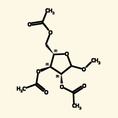 COC1O[C@@H](COC(C)=O)[C@H](OC(C)=O)[C@H]1OC(C)=O